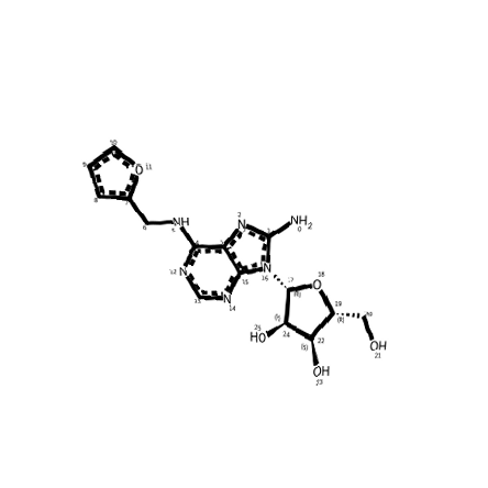 Nc1nc2c(NCc3ccco3)ncnc2n1[C@@H]1O[C@H](CO)[C@@H](O)[C@H]1O